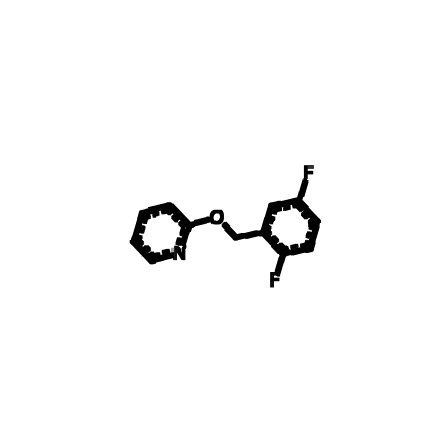 Fc1ccc(F)c(COc2ccccn2)c1